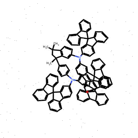 CC1(C)CC(C)(c2ccc(N(c3ccc4c(c3)C3(c5ccccc5-c5ccccc53)c3ccccc3-4)c3ccc4c(c3)C3(c5ccccc5-c5ccccc53)c3ccccc3-4)cc2)c2cc(N(c3ccc4c(c3)C3(c5ccccc5-c5ccccc53)c3ccccc3-4)c3ccc4c(c3)C3(c5ccccc5-c5ccccc53)c3ccccc3-4)ccc21